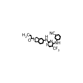 C=CC(=O)N1Cc2ccc(Nc3ncc(C(F)(F)F)c(Nc4cccc(C#N)c4)n3)cc2C1